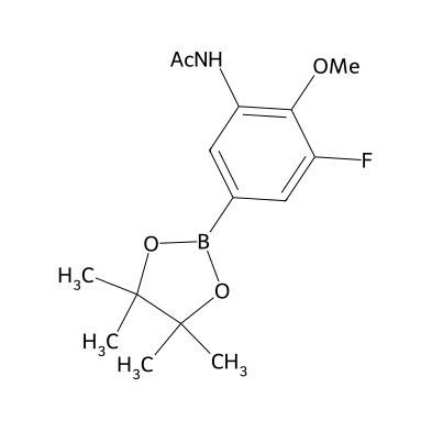 COc1c(F)cc(B2OC(C)(C)C(C)(C)O2)cc1NC(C)=O